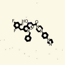 O=C(/C=C(/O)c1cc(Cc2c(F)cc(F)cc2F)cn(Cc2ccccc2)c1=O)C(=O)N1CCN(c2ccc(-n3ccnc3)cc2)CC1